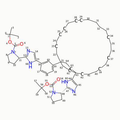 CC(C)(C)OC(=O)N1CCCC1c1ncc(-c2cccc(C34CCCCCCCCCCCCCCCCCCCCCC(c5cnc([C@@H]6CCCN6C(=O)OC(C)(C)C)[nH]5)(CC3)CC4)c2)[nH]1